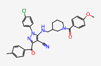 COc1ccc(C(=O)N2CCCC(CNc3c(C#N)c(C(=O)c4ccc(C)cc4)nn3-c3ccc(Cl)cc3)C2)cc1